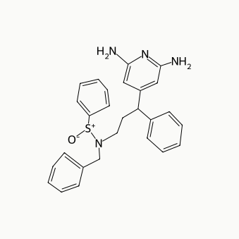 Nc1cc(C(CCN(Cc2ccccc2)[S+]([O-])c2ccccc2)c2ccccc2)cc(N)n1